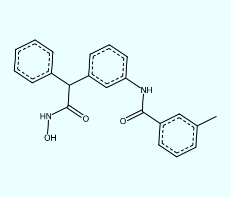 Cc1cccc(C(=O)Nc2cccc(C(C(=O)NO)c3ccccc3)c2)c1